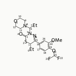 CCC1SC(=O)N(C(CC)N2CCOCC2)N=C1c1ccc(OC(F)F)c(OC)c1